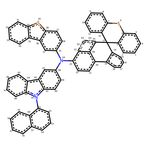 c1ccc2c(c1)Sc1ccccc1C21c2ccccc2-c2ccc(N(c3ccc4sc5ccccc5c4c3)c3ccc4c(c3)c3ccccc3n4-c3cccc4ccccc34)c3cccc1c23